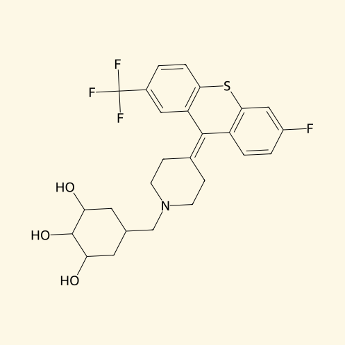 OC1CC(CN2CCC(=C3c4ccc(F)cc4Sc4ccc(C(F)(F)F)cc43)CC2)CC(O)C1O